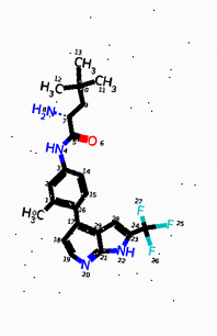 Cc1cc(NC(=O)[C@H](N)CC(C)(C)C)ccc1-c1ccnc2[nH]c(C(F)(F)F)cc12